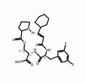 COC(=O)[C@@H](NC(=O)[C@H](Cc1cc(F)cc(F)c1)NC(=O)/C=C/C1CCCCC1)[C@H](C)OC(=O)C1CCCN1C(C)=O